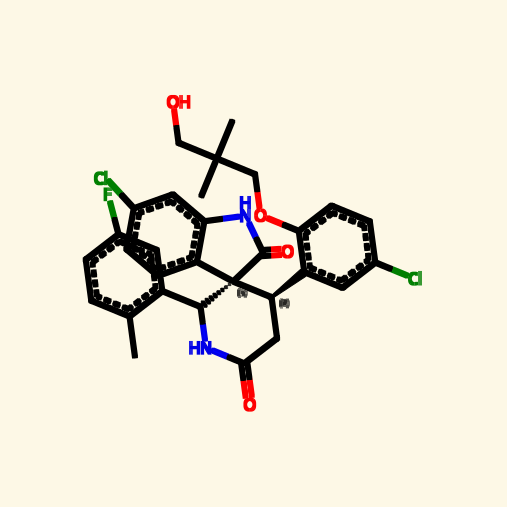 Cc1ccc(F)cc1C1NC(=O)C[C@H](c2cc(Cl)ccc2OCC(C)(C)CO)[C@@]12C(=O)Nc1cc(Cl)ccc12